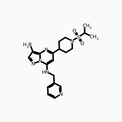 Bc1cnn2c(NCc3cccnc3)cc(C3CCN(S(=O)(=O)C(C)C)CC3)nc12